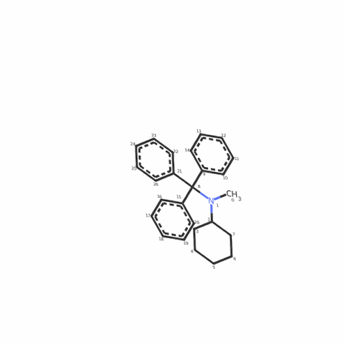 CN(C1CCCCC1)C(c1ccccc1)(c1ccccc1)c1ccccc1